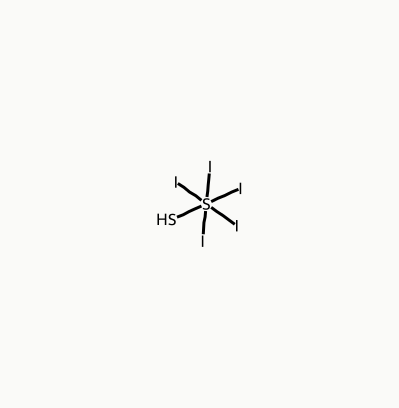 SS(I)(I)(I)(I)I